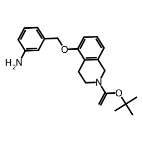 C=C(OC(C)(C)C)N1CCc2c(cccc2OCc2cccc(N)c2)C1